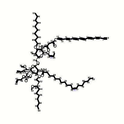 C#CC#CC#CC#CC#CC#CC#CCC(=O)CC(=O)N[C@H]1[C@@H](O/C=C\C)O[C@H](CO[C@@H]2O[C@H](COC)[C@@H](OP(=O)(OCC=C)OCC=C)[C@H](OCC[C@@H](CCCCCCC)OC)[C@H]2NC(=O)CCCCCCCCC/C=C\CCCCCC)[C@@H](C)[C@@H]1OCCCCCCCCCC